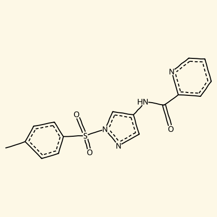 Cc1ccc(S(=O)(=O)n2cc(NC(=O)c3ccccn3)cn2)cc1